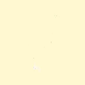 COC(=O)c1ccc(CCN)c(Cl)c1.Cl